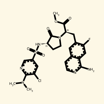 COC(=O)[C@@H](Cc1cc2ccnc(N)c2cc1F)N1CC[C@H](NS(=O)(=O)c2cnc(N(C)C)c(Cl)c2)C1=O